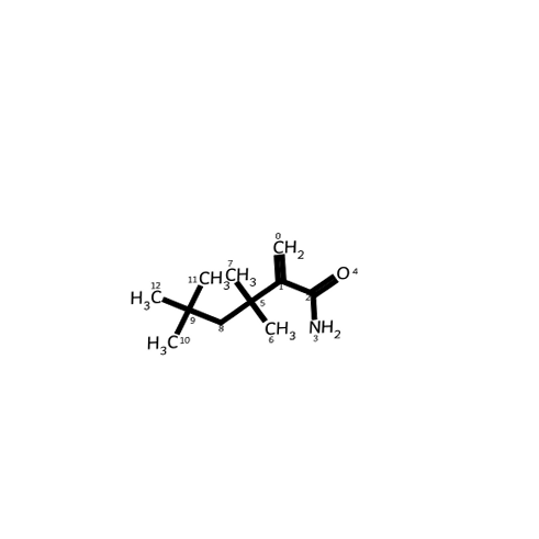 C=C(C(N)=O)C(C)(C)CC(C)(C)C